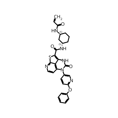 C=CC(=O)N[C@H]1CCC[C@H](NC(=O)c2sc3nccc4c3c2NC(=O)N4c2ccc(Oc3ccccc3)nc2)C1